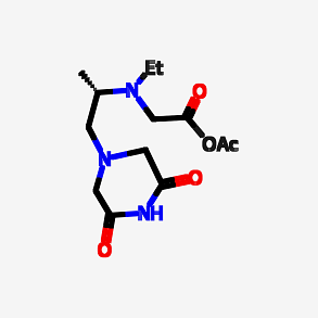 CCN(CC(=O)OC(C)=O)[C@@H](C)CN1CC(=O)NC(=O)C1